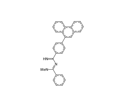 CN/C(=N\C(=N)c1ccc(-c2cc3ccccc3c3ccccc23)cc1)c1ccccc1